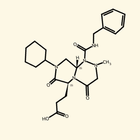 CN1CC(=O)N2[C@@H](CCC(=O)O)C(=O)N(C3CCCCC3)C[C@@H]2N1C(=O)NCc1ccccc1